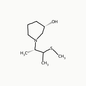 CSC(C)[C@H](C)N1CCC[C@H](O)C1